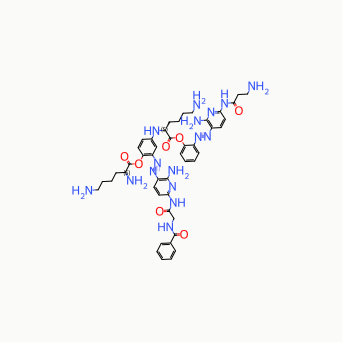 NCCCC[C@H](Nc1ccc(OC(=O)[C@@H](N)CCCCN)c(/N=N/c2ccc(NC(=O)CNC(=O)c3ccccc3)nc2N)c1)C(=O)Oc1ccccc1/N=N/c1ccc(NC(=O)CCN)nc1N